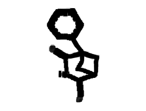 O=C1NC(=O)C2(c3ccccc3)CC1C2